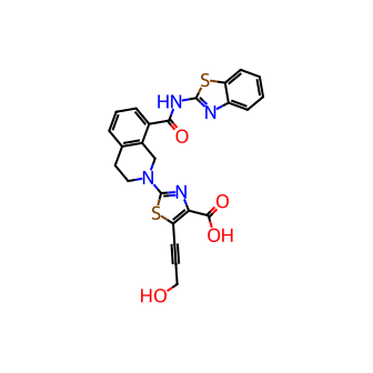 O=C(Nc1nc2ccccc2s1)c1cccc2c1CN(c1nc(C(=O)O)c(C#CCO)s1)CC2